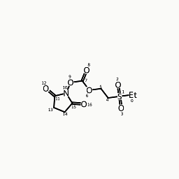 CCS(=O)(=O)CCOC(=O)ON1C(=O)CCC1=O